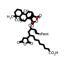 CCCCC/C=C/C(CC(CCCCCCCC(=O)O)C1CC(=O)OC1=O)OOC1C(C(C)C)C2CC3C4(C)CCCC(C)(C(=O)O)C4CCC13C1C(=O)OC(=O)C21